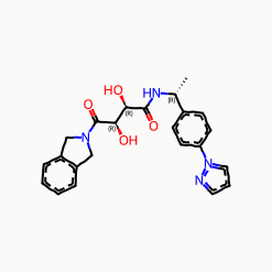 C[C@@H](NC(=O)[C@H](O)[C@@H](O)C(=O)N1Cc2ccccc2C1)c1ccc(-n2cccn2)cc1